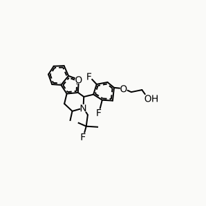 CC1Cc2c(oc3ccccc23)C(c2c(F)cc(OCCO)cc2F)N1CC(C)(C)F